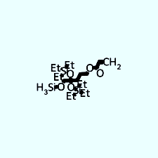 C=CC(=O)OCCCC(CO[SiH3])(O[Si](CC)(CC)CC)O[Si](CC)(CC)CC